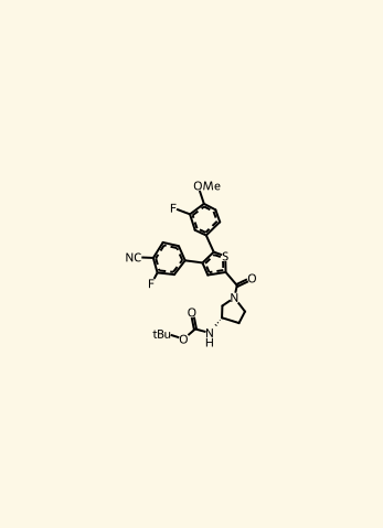 COc1ccc(-c2sc(C(=O)N3CC[C@H](NC(=O)OC(C)(C)C)C3)cc2-c2ccc(C#N)c(F)c2)cc1F